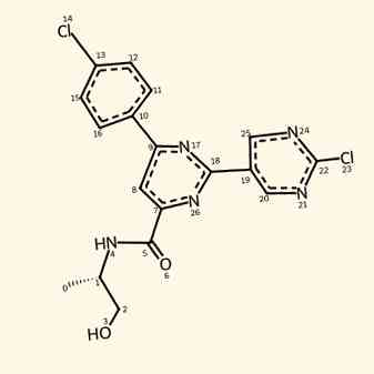 C[C@@H](CO)NC(=O)c1cc(-c2ccc(Cl)cc2)nc(-c2cnc(Cl)nc2)n1